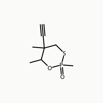 C#CC1(C)CSP(C)(=O)OC1C